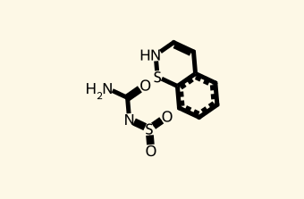 C1=Cc2ccccc2SN1.NC(=O)N=S(=O)=O